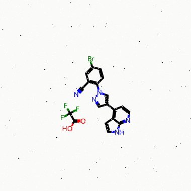 N#Cc1cc(Br)ccc1-n1cc(-c2ccnc3[nH]ccc23)cn1.O=C(O)C(F)(F)F